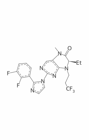 CC[C@@H]1C(=O)N(C)c2cnc(-n3ccnc3-c3cccc(F)c3F)nc2N1CCC(F)(F)F